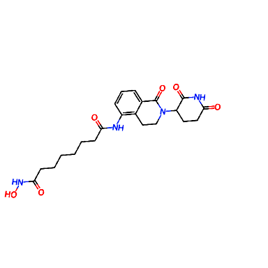 O=C(CCCCCCC(=O)Nc1cccc2c1CCN(C1CCC(=O)NC1=O)C2=O)NO